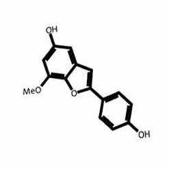 COc1cc(O)cc2cc(-c3ccc(O)cc3)oc12